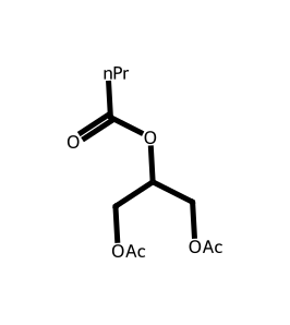 CCCC(=O)OC(COC(C)=O)COC(C)=O